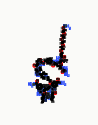 CCn1nc(C)cc1C(=O)Nc1nc2cc(C(N)=O)cc(OC)c2n1C/C=C/Cn1c(NC(=O)c2cc(C)nn2CC)nc2cc(C(N)=O)cc(OCCCN3CCC(c4nnc5n4CCN(C(=O)[C@H](CC(C)C)NC(=O)OCc4ccc(NC(=O)[C@H](CCCNC(N)=O)NC(=O)[C@@H](NC(=O)CCOCCOCCOCCOCCON)C(C)C)cc4)C5)CC3)c21